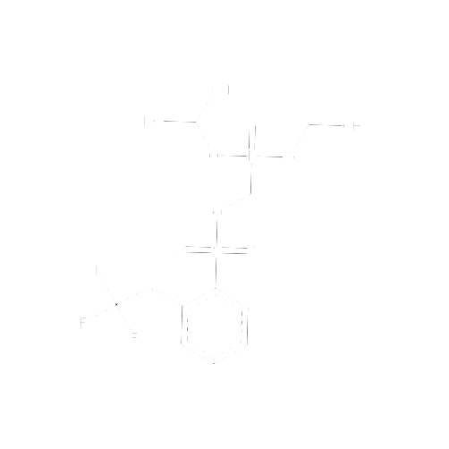 CCOP(=O)(COS(=O)(=O)c1ccccc1SC(F)(F)F)OC(C)C